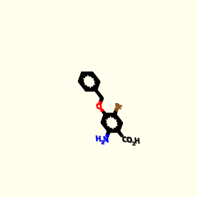 Nc1cc(OCc2ccccc2)c(Br)cc1C(=O)O